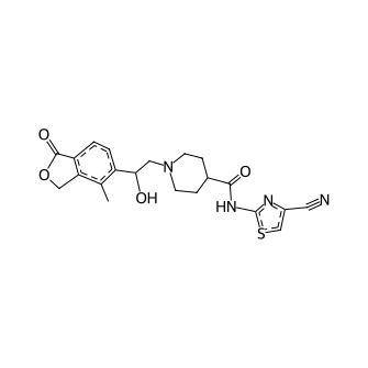 Cc1c(C(O)CN2CCC(C(=O)Nc3nc(C#N)cs3)CC2)ccc2c1COC2=O